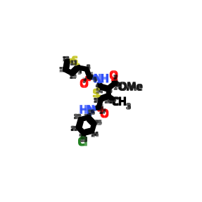 COC(=O)c1c(NC(=O)Cc2cccs2)sc(C(=O)Nc2ccc(Cl)cc2)c1C